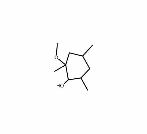 COC1(C)CC(C)CC(C)C1O